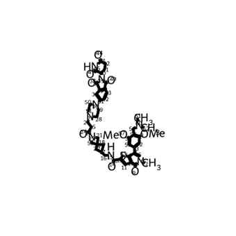 COc1cc(-c2cn(C)c(=O)c3cc(C(=O)NCC4CC5(C4)CN(C(=O)CCN4CCN(c6ccc7c(c6)C(=O)N(C6CCC(=O)NC6=O)C7=O)CC4)C5)sc23)cc(OC)c1CN(C)C